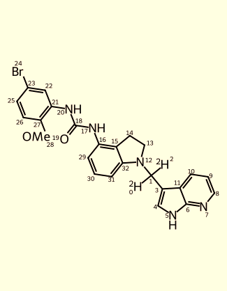 [2H]C([2H])(c1c[nH]c2ncccc12)N1CCc2c(NC(=O)Nc3cc(Br)ccc3OC)cccc21